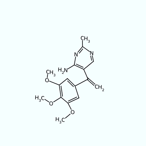 C=C(c1cc(OC)c(OC)c(OC)c1)c1cnc(C)nc1N